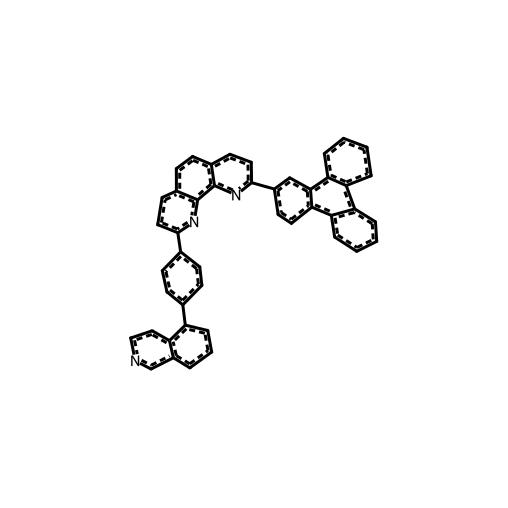 c1cc(-c2ccc(-c3ccc4ccc5ccc(-c6ccc7c8ccccc8c8ccccc8c7c6)nc5c4n3)cc2)c2ccncc2c1